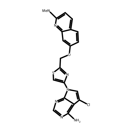 CNc1ccc2ccc(OCc3nc(-n4cc(Cl)c5c(N)ncnc54)cs3)cc2n1